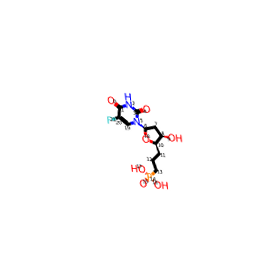 O=c1[nH]c(=O)n([C@H]2C[C@@H](O)[C@@H](CCCP(=O)(O)O)O2)cc1F